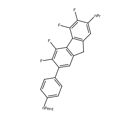 CCCCCc1ccc(-c2cc3c(c(F)c2F)-c2c(cc(CCC)c(F)c2F)C3)cc1